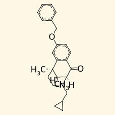 C[C@H]1[C@H]2C(=O)c3ccc(OCc4ccccc4)cc3[C@]1(C)CCN2CC1CC1